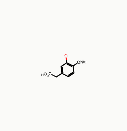 COc1ccc(CC(=O)O)cc1[O]